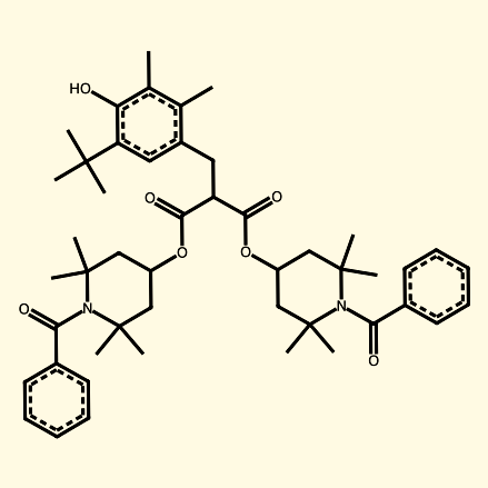 Cc1c(CC(C(=O)OC2CC(C)(C)N(C(=O)c3ccccc3)C(C)(C)C2)C(=O)OC2CC(C)(C)N(C(=O)c3ccccc3)C(C)(C)C2)cc(C(C)(C)C)c(O)c1C